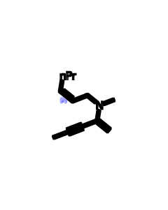 C=C(C#CC)N(C)C/C=C\CCC